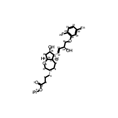 CC(C)OC(=O)CCC[C@H]1CC[C@@H]2[C@@H](/C=C/[C@H](O)COc3cc(F)ccc3F)[C@H](O)C[C@@H]2OC1